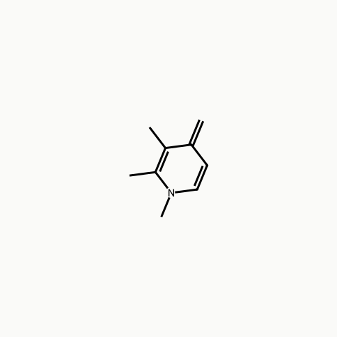 C=C1C=CN(C)C(C)=C1C